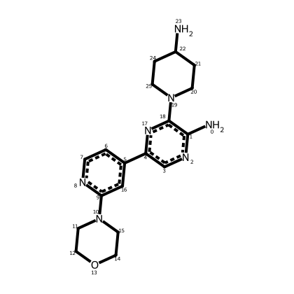 Nc1ncc(-c2ccnc(N3CCOCC3)c2)nc1N1CCC(N)CC1